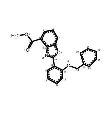 COC(=O)c1cccc2oc(-c3ccccc3OCc3ccccc3)nc12